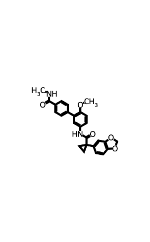 CNC(=O)c1ccc(-c2cc(NC(=O)C3(c4ccc5c(c4)OCO5)CC3)ccc2OC)cc1